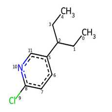 CCC(CC)c1ccc(Cl)nc1